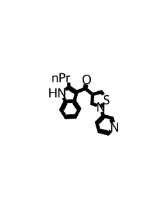 CCCc1[nH]c2ccccc2c1C(=O)C1CSN(c2cccnc2)C1